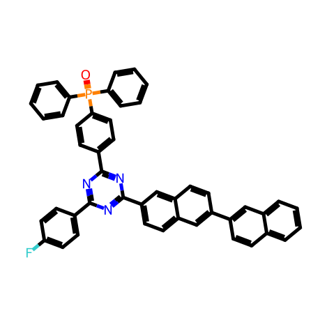 O=P(c1ccccc1)(c1ccccc1)c1ccc(-c2nc(-c3ccc(F)cc3)nc(-c3ccc4cc(-c5ccc6ccccc6c5)ccc4c3)n2)cc1